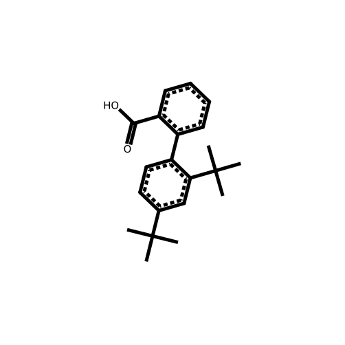 CC(C)(C)c1ccc(-c2ccccc2C(=O)O)c(C(C)(C)C)c1